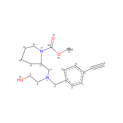 C#Cc1ccc(CN(CCO)CC2CCCCN2C(=O)OC(C)(C)C)cc1